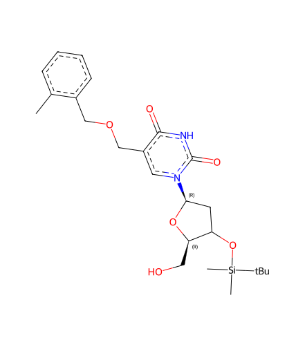 Cc1ccccc1COCc1cn([C@H]2CC(O[Si](C)(C)C(C)(C)C)[C@@H](CO)O2)c(=O)[nH]c1=O